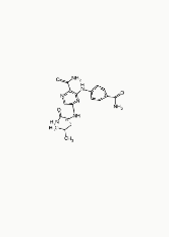 CC(C)C[C@@H](Nc1cnc(C(N)=O)c(Nc2ccc(C(N)=O)cc2)n1)C(N)=O